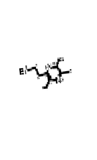 Cc1nc(C)c(CCBr)nc1C